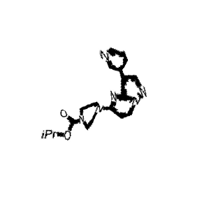 CC(C)OC(=O)N1CCN(c2ccn3ncc(-c4cccnc4)c3n2)CC1